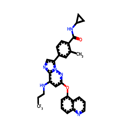 Cc1cc(-c2cnc3c(NCCC(F)(F)F)cc(Oc4cccc5ncccc45)nn23)ccc1C(=O)NC1CC1